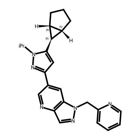 CC(C)n1nc(-c2cnc3cnn(Cc4ccccn4)c3c2)cc1[C@H]1[C@@H]2CCC[C@@H]21